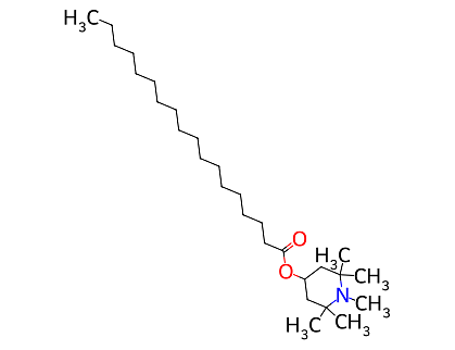 CCCCCCCCCCCCCCCCCC(=O)OC1CC(C)(C)N(C)C(C)(C)C1